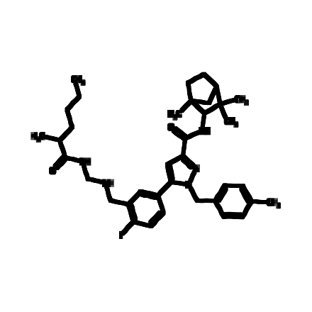 CCCCC(C)C(=O)NCNCc1cc(-c2cc(C(=O)NC3C4(C)CCC(C4)C3(C)C)nn2Cc2ccc(C)cc2)ccc1I